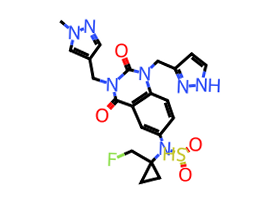 Cn1cc(Cn2c(=O)c3cc(N([SH](=O)=O)C4(CF)CC4)ccc3n(Cc3cc[nH]n3)c2=O)cn1